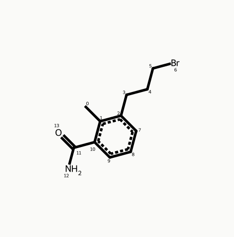 Cc1c(CCCBr)cccc1C(N)=O